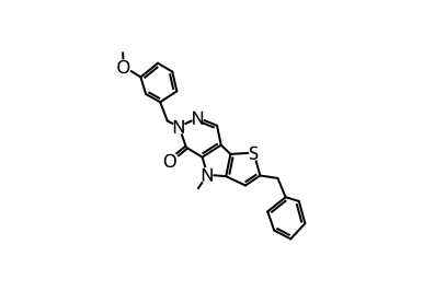 COc1cccc(Cn2ncc3c4sc(Cc5ccccc5)cc4n(C)c3c2=O)c1